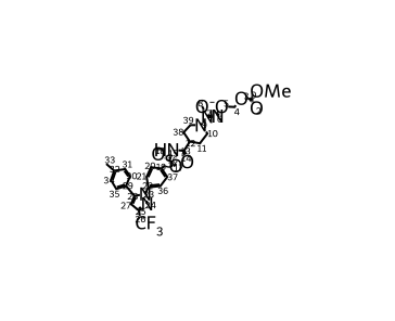 COC(=O)OCO/N=[N+](\[O-])N1CCC(C(=O)NS(=O)(=O)c2ccc(-n3nc(C(F)(F)F)cc3-c3ccc(C)cc3)cc2)CC1